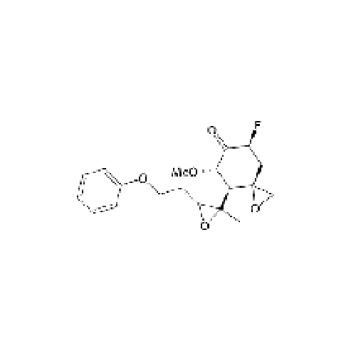 CO[C@@H]1C(=O)[C@@H](F)C[C@]2(CO2)[C@H]1C1(C)O[C@@H]1CCOc1ccccc1